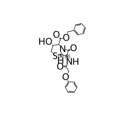 O=C(COc1ccccc1)N[C@@H]1C(=O)N2C(C(=O)OCc3ccccc3)C(O)CS[C@@H]12